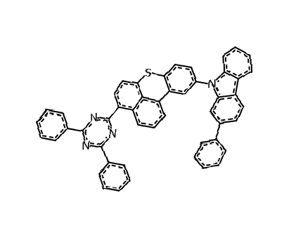 c1ccc(-c2ccc3c4ccccc4n(-c4ccc5c(c4)-c4cccc6c(-c7nc(-c8ccccc8)nc(-c8ccccc8)n7)ccc(c46)S5)c3c2)cc1